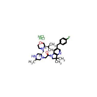 CC(C)[C@@H]1COCCN1C[C@H]1CN[C@H](C)CN1CC(=O)N1CC(C)(C)c2ncc(Cc3ccc(F)cc3)cc21.Cl.Cl